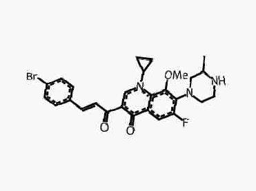 COc1c(N2CCNC(C)C2)c(F)cc2c(=O)c(C(=O)C=Cc3ccc(Br)cc3)cn(C3CC3)c12